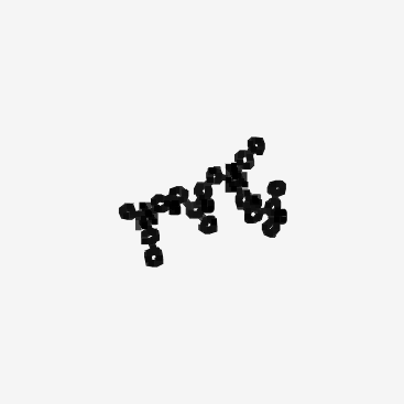 c1ccc(-c2ccc(-c3nc(-c4cccc(-c5ccc6c(c5)oc5c(-c7ccccc7)ccc(-c7cccc8c7sc7cc(-c9nc(-c%10ccccc%10)nc(-c%10ccc(-c%11ccccc%11)cc%10)n9)ccc78)c56)c4)nc(-c4ccc5c(c4)sc4c(-c6cc(-c7ccccc7)cc7oc8ccccc8c67)cccc45)n3)cc2)cc1